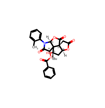 Cc1ccccc1N1C(=O)[C@H](OC(=O)c2ccccc2)C23[C@@H]1OC(=O)[C@@]21CC(=O)O[C@H]1C[C@@]3(O)C(C)(C)C